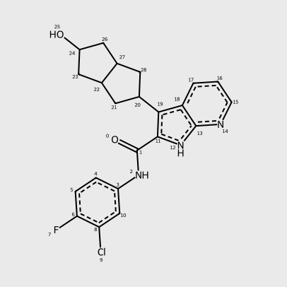 O=C(Nc1ccc(F)c(Cl)c1)c1[nH]c2ncccc2c1C1CC2CC(O)CC2C1